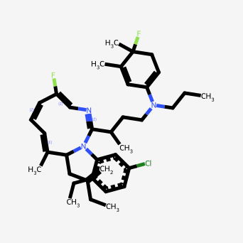 C=C(CC)CC1/C(C)=C/C=C\C(F)=C\N=C(\C(C)CCN(CCC)C2=CCC(C)(F)C(C)=C2)N1c1cc(Cl)ccc1CC